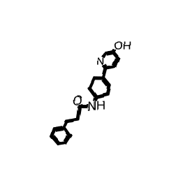 O=C(CCc1ccccc1)NC1CC=C(c2ccc(O)cn2)CC1